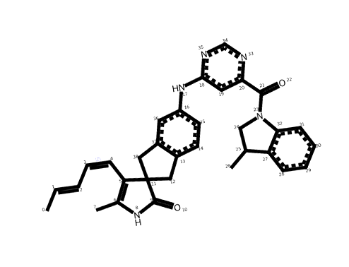 CC=C/C=C\C1=C(C)NC(=O)C12Cc1ccc(Nc3cc(C(=O)N4CC(C)c5ccccc54)ncn3)cc1C2